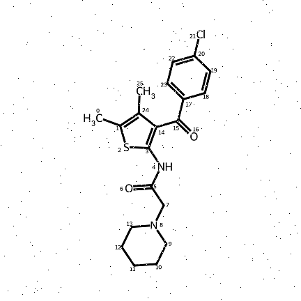 Cc1sc(NC(=O)CN2CCCCC2)c(C(=O)c2ccc(Cl)cc2)c1C